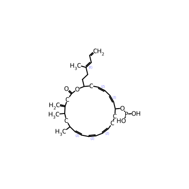 C=C/C=C(\C)CCC1C/C=C\C=C/C(OP(O)O)CC\C=C/C=C\C=C/C(C)CC(C)C(=C)CC(=O)O1